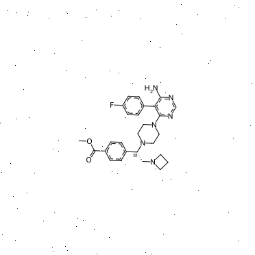 COC(=O)c1ccc([C@@H](CN2CCC2)N2CCN(c3ncnc(N)c3-c3ccc(F)cc3)CC2)cc1